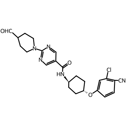 N#Cc1ccc(O[C@H]2CC[C@H](NC(=O)c3cnc(N4CCC(C=O)CC4)nc3)CC2)cc1Cl